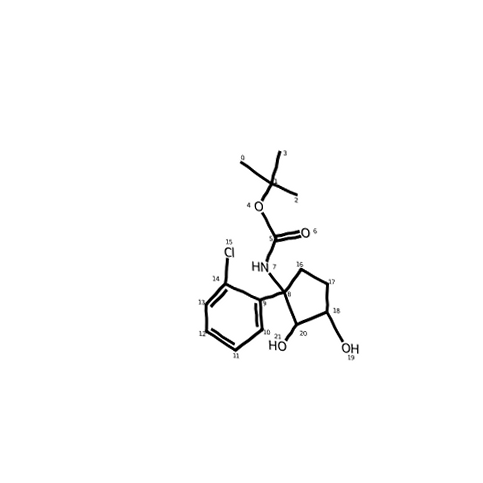 CC(C)(C)OC(=O)NC1(c2ccccc2Cl)CCC(O)C1O